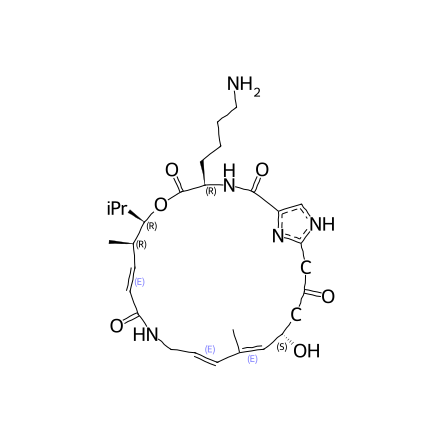 CC1=C\[C@@H](O)CC(=O)Cc2nc(c[nH]2)C(=O)N[C@H](CCCCN)C(=O)O[C@H](C(C)C)[C@H](C)/C=C/C(=O)NC\C=C\1